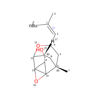 CCCC/C(C)=C\C1C[C@@]2(C)C[C@@H](O)C(O1)C13CC12O3